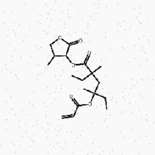 C=CC(=O)OC(C)(CC)CC(C)(CC)C(=O)OC1C(=O)OCC1C